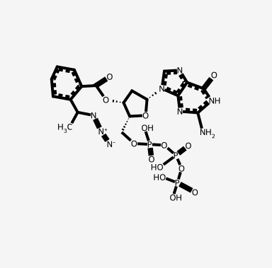 CC(N=[N+]=[N-])c1ccccc1C(=O)O[C@@H]1C[C@H](n2cnc3c(=O)[nH]c(N)nc32)O[C@@H]1COP(=O)(O)OP(=O)(O)OP(=O)(O)O